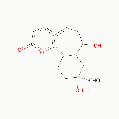 O=C[C@]1(O)CCC2=c3oc(=O)ccc3=CCC(O)C2C1